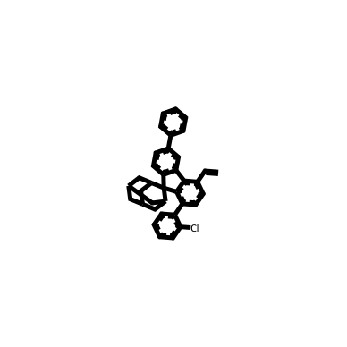 C=Cc1ccc(-c2ccccc2Cl)c2c1-c1cc(-c3ccccc3)ccc1C21C2CC3CC(C2)CC1C3